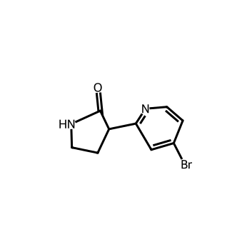 O=C1NCCC1c1cc(Br)ccn1